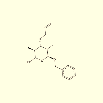 C=CCO[C@@H]1C(C)[C@@H](OCc2ccccc2)OC(CC)[C@H]1C